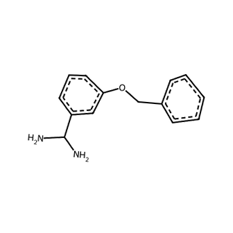 NC(N)c1cccc(OCc2ccccc2)c1